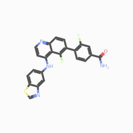 NC(=O)c1ccc(-c2ccc3nccc(Nc4ccc5scnc5c4)c3c2F)c(F)c1